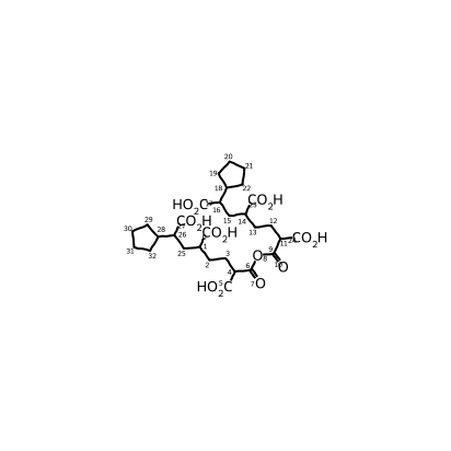 O=C(O)C(CCC(C(=O)O)C(=O)OC(=O)C(CCC(CC(C(=O)O)C1CCCC1)C(=O)O)C(=O)O)CC(C(=O)O)C1CCCC1